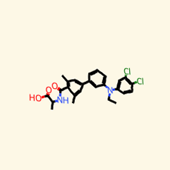 CCN(c1cccc(-c2cc(C)c(C(=O)NC(C)C(=O)O)c(C)c2)c1)c1ccc(Cl)c(Cl)c1